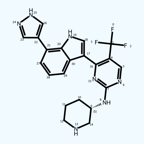 FC(F)(F)c1cnc(N[C@H]2CCCNC2)nc1-c1c[nH]c2c(-c3cn[nH]c3)cccc12